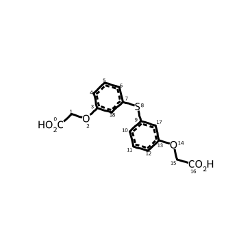 O=C(O)COc1cccc(Sc2cccc(OCC(=O)O)c2)c1